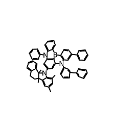 Cc1cc(C)c2c(c1)C1(C)CCc3ccccc3C1(C)N2c1cc2c3c(c1)N(c1cccc(-c4ccccc4)c1)c1cc(-c4ccccc4)ccc1B3c1ccccc1N2c1ccccc1